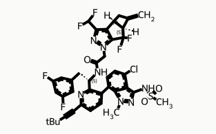 C=C1C[C@@H]2c3c(C(F)F)nn(CC(=O)N[C@@H](Cc4cc(F)cc(F)c4)c4nc(C#CC(C)(C)C)ccc4-c4ccc(Cl)c5c(NS(C)(=O)=O)nn(C)c45)c3C(F)(F)[C@H]12